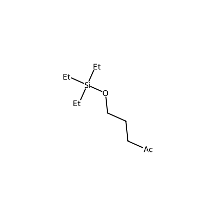 CC[Si](CC)(CC)OCCCC(C)=O